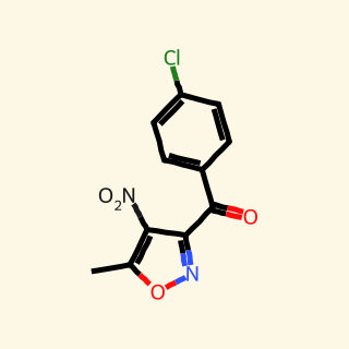 Cc1onc(C(=O)c2ccc(Cl)cc2)c1[N+](=O)[O-]